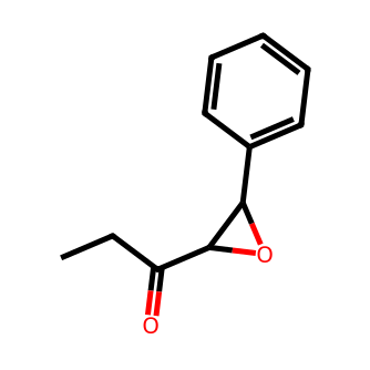 CCC(=O)C1OC1c1ccccc1